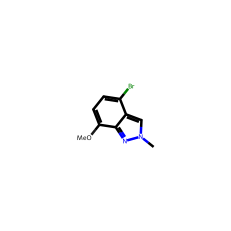 COc1ccc(Br)c2cn(C)nc12